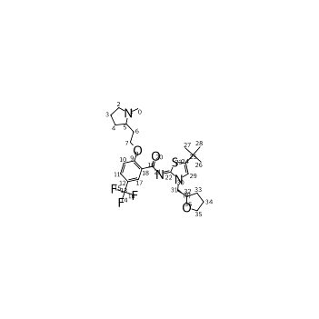 CN1CCCC1CCOc1ccc(C(F)(F)F)cc1C(=O)N=c1sc(C(C)(C)C)cn1C[C@H]1CCCO1